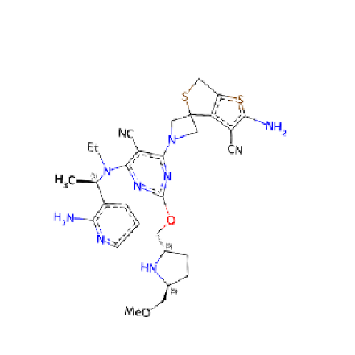 CCN(c1nc(OC[C@@H]2CC[C@@H](COC)N2)nc(N2CC3(C2)SCc2sc(N)c(C#N)c23)c1C#N)[C@H](C)c1cccnc1N